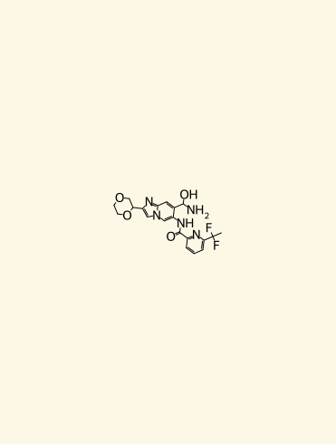 CC(F)(F)c1cccc(C(=O)Nc2cn3cc(C4COCCO4)nc3cc2C(N)O)n1